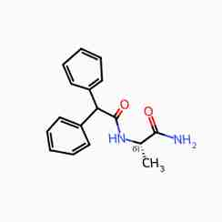 C[C@H](NC(=O)C(c1ccccc1)c1ccccc1)C(N)=O